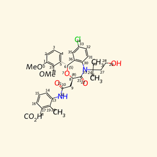 COc1cccc([C@H]2O[C@H](CC(=O)Nc3cccc(C(=O)O)c3C)C(=O)N(C(C)(C)CCO)c3ccc(Cl)cc32)c1OC